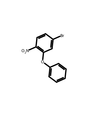 O=[N+]([O-])c1ccc(Br)cc1Oc1ccccc1